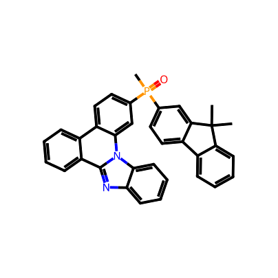 CC1(C)c2ccccc2-c2ccc(P(C)(=O)c3ccc4c5ccccc5c5nc6ccccc6n5c4c3)cc21